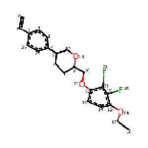 C=Cc1ccc(C2CCC(COc3ccc(OCC)c(F)c3F)OC2)cc1